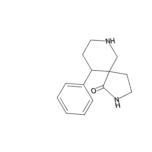 O=C1NCCC12CNCCC2c1ccccc1